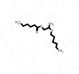 CCCCCCOC(C)COC(=O)CCCCC